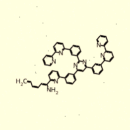 C=C/C=C\C=C(/N)c1cccc(-c2cccc(-c3cc(-c4cccc(-c5cccc(-c6ccccn6)n5)c4)nc(-c4cccc(-c5cccc(-c6ccccn6)n5)c4)n3)c2)n1